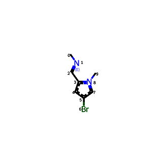 C/N=C/c1cc(Br)cn1C